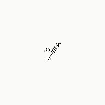 N#[C][Ti].[Cu]